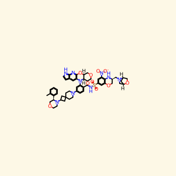 Cc1ccccc1[C@@H]1COCCN1C1CC2(CCN(c3ccc(C(=O)NS(=O)(=O)c4cc5c(c([N+](=O)[O-])c4)N[C@@H](CN4C[C@@H]6C[C@H]4CO6)CO5)c(N4c5cc6cc[nH]c6nc5O[C@H]5COCC[C@@H]54)c3)CC2)C1